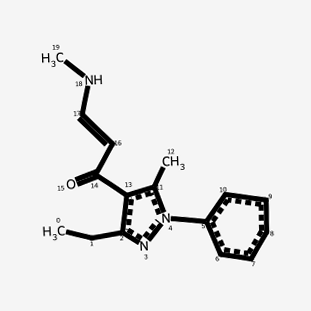 CCc1nn(-c2ccccc2)c(C)c1C(=O)/C=C/NC